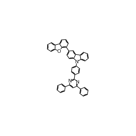 c1ccc(-c2cc(-c3ccccc3)nc(-c3ccc(-n4c5ccccc5c5cc(-c6cccc7c6oc6ccccc67)ccc54)cc3)n2)cc1